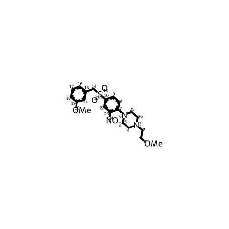 COCCN1CCN(c2ccc(S(=O)(=O)Cc3cccc(OC)c3)cc2[N+](=O)[O-])CC1